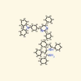 NC(/C(=C1\NC(c2ccccc2)=Cc2c1cccc2-c1cccc(-c2nc(-c3ccccc3)cc(-c3ccc(-n4c5ccccc5c5ccccc54)cc3)n2)c1)c1ccccc1)c1ccccc1